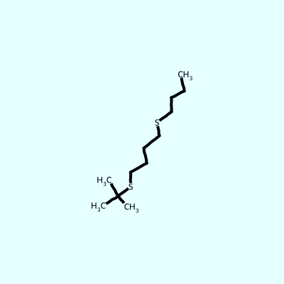 CCCCSCCCCSC(C)(C)C